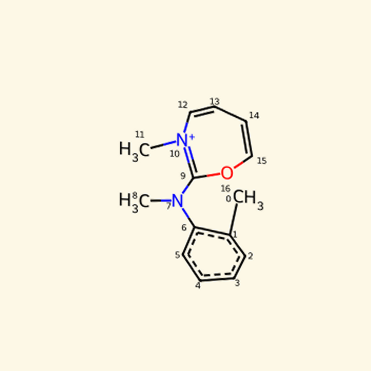 Cc1ccccc1N(C)C1=[N+](C)C=CC=CO1